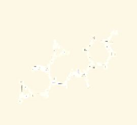 C=C(C1CC1)N(C/C=C(\C)C1CC=C(C)CC1)CC1CC1